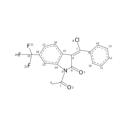 CC(=O)N1C(=O)/C(=C(/Cl)c2ccccc2)c2ccc(C(F)(F)F)cc21